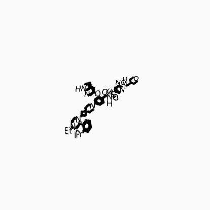 CCN1CCN(C2CC3(CCN(c4ccc(C(=O)NS(=O)(=O)c5cnc(NCC6CCOCC6)c([N+](=O)[O-])c5)c(Oc5cnc6[nH]ccc6c5)c4)CC3)C2)[C@@H](c2ccccc2C(C)C)C1